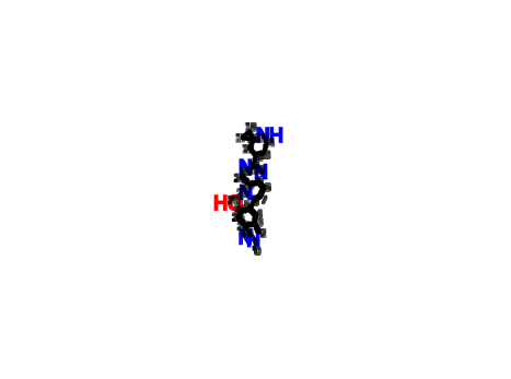 Cn1cc2cc(-c3ccc4nc(C5=CCNC6(CC6)C5)ncc4n3)c(O)cc2n1